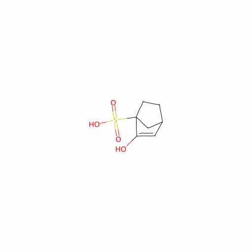 O=S(=O)(O)C12CCC(C=C1O)C2